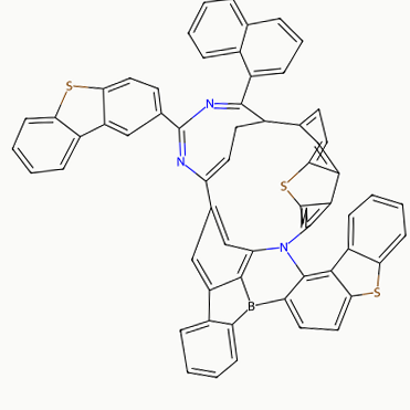 C1=C2/N=C(c3ccc4sc5ccccc5c4c3)\N=C(\c3cccc4ccccc34)C(C\1)c1ccc3sc4cccc(c4c3c1)N1c3cc2cc2c3B(c3ccccc3-2)c2ccc3sc4ccccc4c3c21